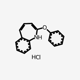 C1=Cc2ccccc2NC(Oc2ccccc2)=C1.Cl